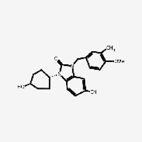 COc1ccc(Cn2c(=O)n([C@H]3CC[C@H](O)CC3)c3ccc(C#N)cc32)cc1C